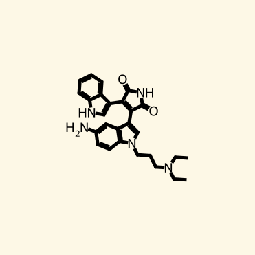 CCN(CC)CCCn1cc(C2=C(c3c[nH]c4ccccc34)C(=O)NC2=O)c2cc(N)ccc21